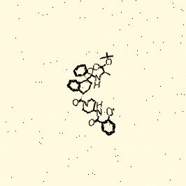 COc1ccccc1C(=O)NC1CCN(C(=O)[C@H]2CC[C@@](C(=O)N[C@H](C)C(=O)OC(C)(C)C)(c3ccccc3)c3ccccc32)CC1